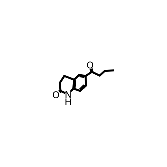 CCCC(=O)c1ccc2c(c1)CCC(=O)N2